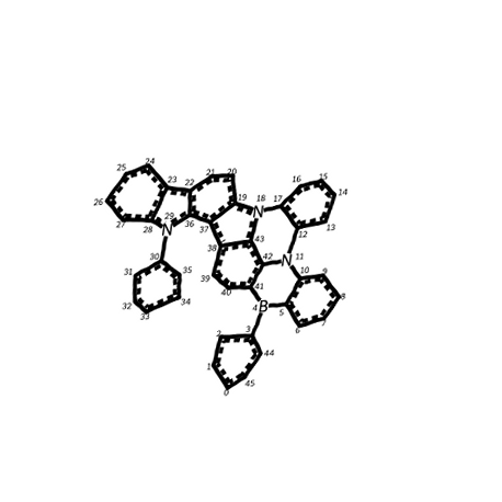 c1ccc(B2c3ccccc3N3c4ccccc4-n4c5ccc6c7ccccc7n(-c7ccccc7)c6c5c5ccc2c3c54)cc1